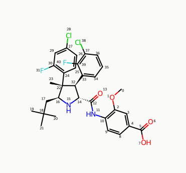 COc1cc(C(=O)O)ccc1NC(=O)[C@@H]1N[C@@H](CC(C)(C)C)[C@](C)(c2ccc(Cl)cc2F)[C@H]1c1cccc(Cl)c1F